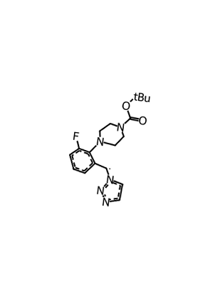 CC(C)(C)OC(=O)N1CCN(c2c(F)cccc2[CH]n2ccnn2)CC1